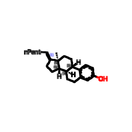 CCCCC/C=C1\CC[C@H]2[C@@H]3CCc4cc(O)ccc4[C@H]3CC[C@]12C